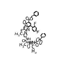 C[C@H](NC(=O)OC(=O)c1ccccc1)C(=O)N[C@@H](C)C(=O)N[C@H]1C[C@H](C)N(c2nc3c(-c4ccc(F)cc4F)cc(C(=O)OCc4ccccc4)c(=O)n3cc2F)C1